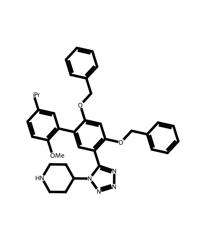 COc1ccc(C(C)C)cc1-c1cc(-c2nnnn2C2CCNCC2)c(OCc2ccccc2)cc1OCc1ccccc1